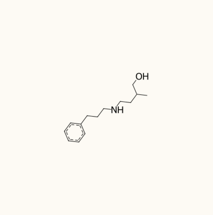 CC(CO)CCNCCCc1ccccc1